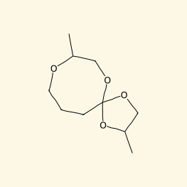 CC1COC2(CCCO1)OCC(C)O2